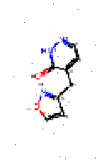 O=c1[nH]nccc1Cc1ccon1